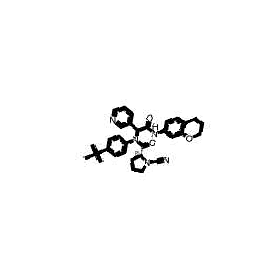 CC(C)(C)c1ccc(N(C(=O)[C@H]2CCCN2C#N)C(C(=O)Nc2ccc3c(c2)OCCC3)c2cccnc2)cc1